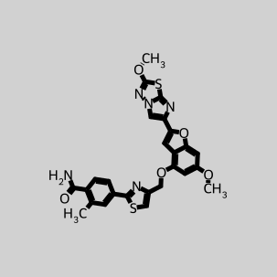 COc1cc(OCc2csc(-c3ccc(C(N)=O)c(C)c3)n2)c2cc(-c3cn4nc(OC)sc4n3)oc2c1